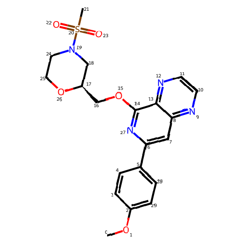 COc1ccc(-c2cc3nccnc3c(OC[C@@H]3CN(S(C)(=O)=O)CCO3)n2)cc1